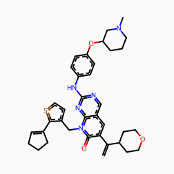 C=C(c1cc2cnc(Nc3ccc(OC4CCCN(C)C4)cc3)nc2n(Cc2ccsc2C2=CCCC2)c1=O)C1CCOCC1